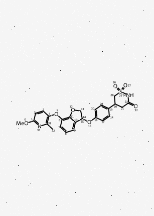 COc1ccc(Oc2cccc3c2OC[C@H]3Oc2ccc(C3CC(=O)NS(=O)(=O)C3)cc2)c(C)n1